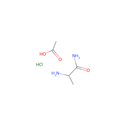 CC(=O)O.CC(N)C(N)=O.Cl